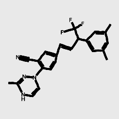 CC1=NN(c2ccc(/C=C/C(c3cc(C)cc(C)c3)C(F)(F)F)cc2C#N)C=CN1